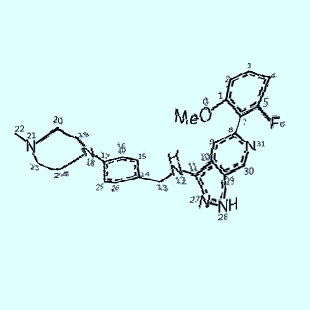 COc1cccc(F)c1-c1cc2c(NCc3ccc(N4CCN(C)CC4)cc3)n[nH]c2cn1